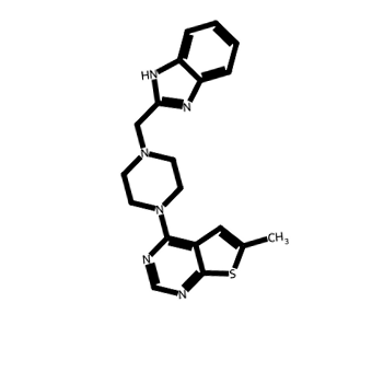 Cc1cc2c(N3CCN(Cc4nc5ccccc5[nH]4)CC3)ncnc2s1